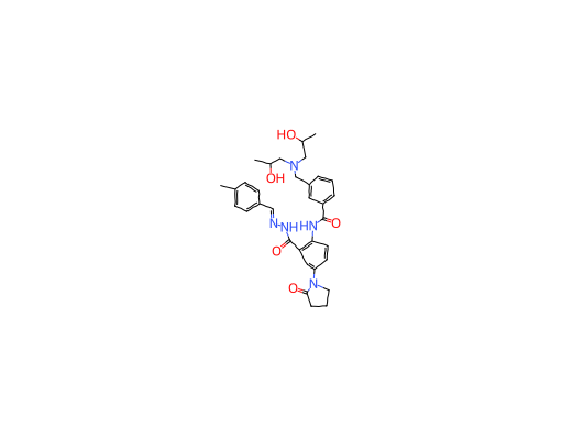 Cc1ccc(C=NNC(=O)c2cc(N3CCCC3=O)ccc2NC(=O)c2cccc(CN(CC(C)O)CC(C)O)c2)cc1